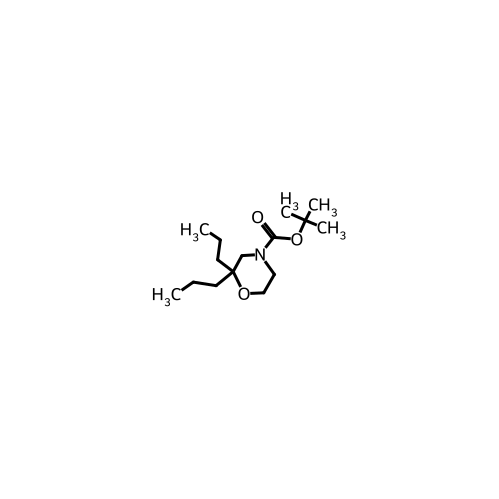 CCCC1(CCC)CN(C(=O)OC(C)(C)C)CCO1